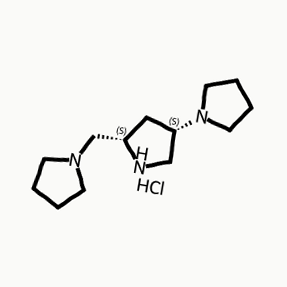 C1CCN(C[C@@H]2C[C@H](N3CCCC3)CN2)C1.Cl